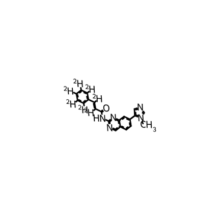 [2H]/C(C(=O)Nc1ncc2ccc(-c3cncn3C)cc2n1)=C(/[2H])c1c([2H])c([2H])c([2H])c([2H])c1[2H]